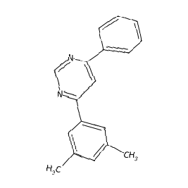 Cc1cc(C)cc(-c2cc(-c3ccccc3)ncn2)c1